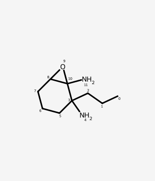 CCCC1(N)CCCC2OC21N